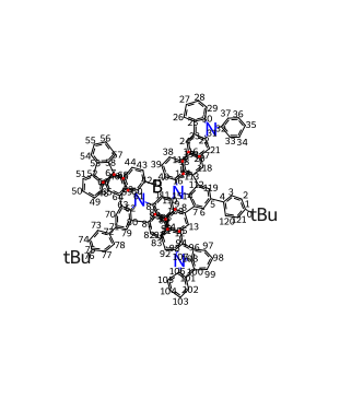 CC(C)(C)c1ccc(-c2cc(-c3ccccc3)c(N3c4cc(-c5ccc6c(c5)c5ccccc5n6-c5ccccc5)ccc4B4c5ccc(C6c7ccccc7-c7ccccc76)cc5N(c5c(-c6ccccc6)cc(-c6ccc(C(C)(C)C)cc6)cc5-c5ccccc5)c5cc(-c6ccc7c(c6)c6cccc8c9ccccc9n7c86)cc3c54)c(-c3ccccc3)c2)cc1